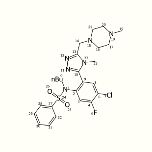 CCCCN(c1cc(F)c(Cl)cc1-c1nnc(CN2CCN(C)CC2)n1C)S(=O)(=O)c1ccccc1